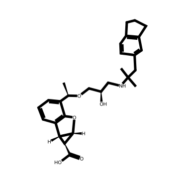 C[C@@H](OC[C@H](O)CNC(C)(C)Cc1ccc2c(c1)CCC2)c1cccc2c1O[C@@H]1[C@@H](C(=O)O)[C@H]21